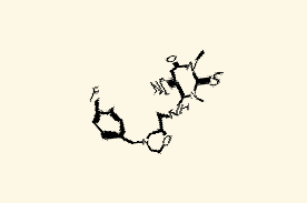 Cn1c(NCC2CN(Cc3ccc(F)cc3)CCO2)c(C#N)c(=O)n(C)c1=S